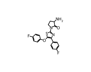 NC1CCN(c2nc(-c3ccc(F)cc3)c(Oc3ccc(F)cc3)s2)C1=O